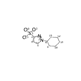 O=S(=O)(Cl)c1ccn(C2CCCCC2)n1